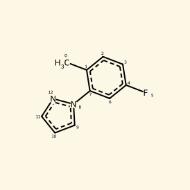 Cc1ccc(F)cc1-n1cccn1